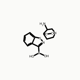 NC1CN2CCC1CC2.OB(O)c1nsc2ccccc12